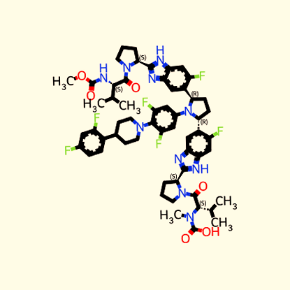 COC(=O)N[C@H](C(=O)N1CCC[C@H]1c1nc2cc([C@H]3CC[C@H](c4cc5nc([C@@H]6CCCN6C(=O)[C@H](C(C)C)N(C)C(=O)O)[nH]c5cc4F)N3c3cc(F)c(N4CCC(c5ccc(F)cc5F)CC4)c(F)c3)c(F)cc2[nH]1)C(C)C